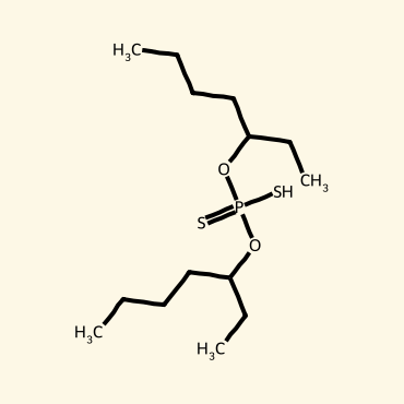 CCCCC(CC)OP(=S)(S)OC(CC)CCCC